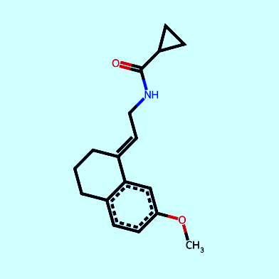 COc1ccc2c(c1)/C(=C/CNC(=O)C1CC1)CCC2